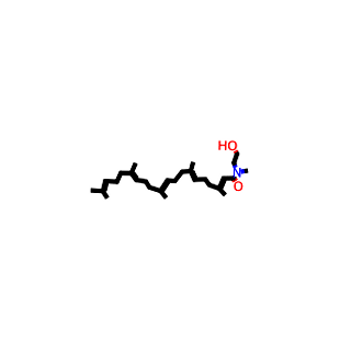 CC(C)=CCCC(C)=CCCC(C)=CCCC(C)=CCCC(C)=CC(=O)N(C)CCO